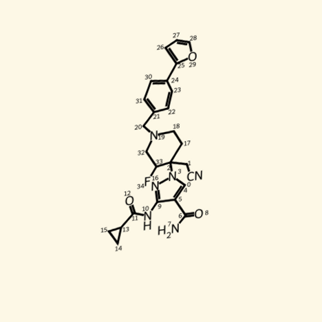 N#CCC1(n2cc(C(N)=O)c(NC(=O)C3CC3)n2)CCN(Cc2ccc(-c3ccco3)cc2)CC1F